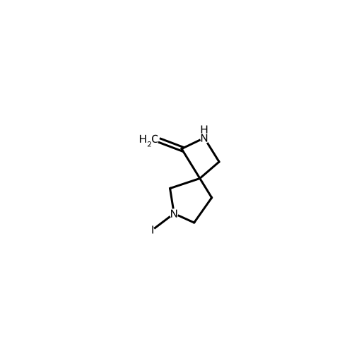 C=C1NCC12CCN(I)C2